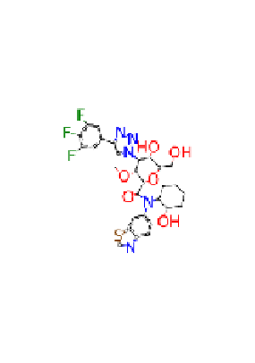 CO[C@@H]1[C@@H](n2cc(-c3cc(F)c(F)c(F)c3)nn2)[C@@H](O)[C@@H](CO)O[C@H]1C(=O)N(c1ccc2ncsc2c1)[C@H]1CCCC[C@@H]1O